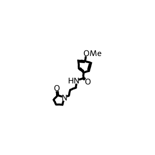 COc1ccc(C(=O)NCCCN2CCCC2=O)cc1